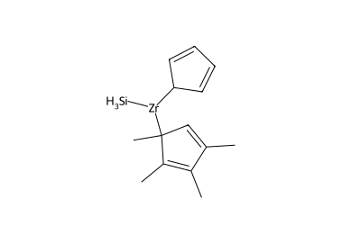 CC1=C[C](C)([Zr]([SiH3])[CH]2C=CC=C2)C(C)=C1C